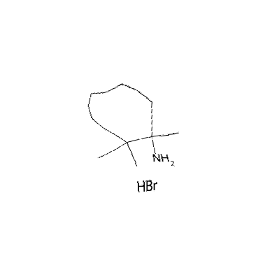 Br.CC1(C)CCCCC1(C)N